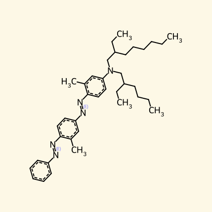 CCCCCCC(CC)CN(CC(CC)CCCC)c1ccc(/N=N/c2ccc(/N=N/c3ccccc3)c(C)c2)c(C)c1